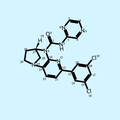 O=C(Nc1cnccn1)N1c2nc(-c3cc(Cl)cc(Cl)c3)ccc2N2CC[C@H]1C2